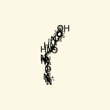 CN(C)[C@H](CNC(=O)NCCc1cn(CCOCCN=[N+]=[N-])nn1)Cc1ccc(O)cc1